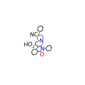 N#CC1(c2ccccc2)CCN(Cc2c(C(=O)O)c3ccccc3c(=O)n2-c2ccccc2)CC1